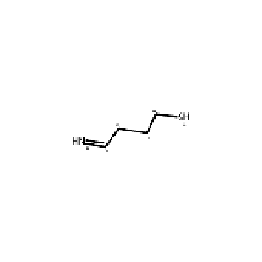 N=CCCCS